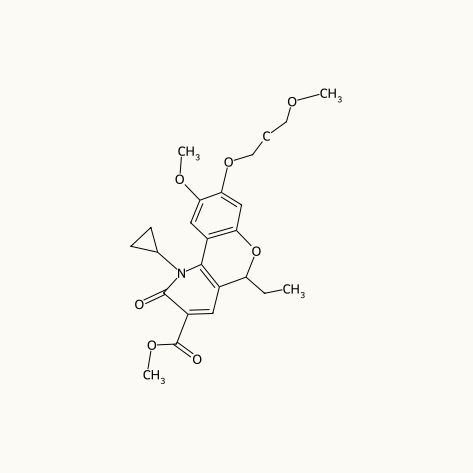 CCC1Oc2cc(OCCCOC)c(OC)cc2-c2c1cc(C(=O)OC)c(=O)n2C1CC1